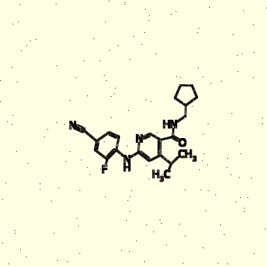 CC(C)c1cc(Nc2ccc(C#N)cc2F)ncc1C(=O)NCC1CCCC1